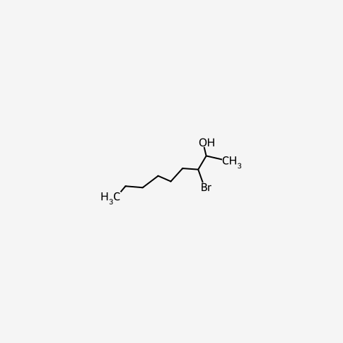 CCCCCCC(Br)C(C)O